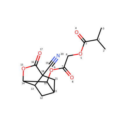 CC(C)C(=O)OCC(=O)OC1C2CC3C1OC(=O)C3(C#N)C2